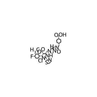 COC(=O)C1=C(CN2CCN3C(=O)N(Cc4ccc(C(=O)O)cc4)C[C@H]3C2)NC(c2nccs2)=NC1c1ccc(F)cc1Cl